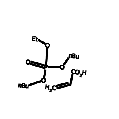 C=CC(=O)O.CCCCOP(=O)(OCC)OCCCC